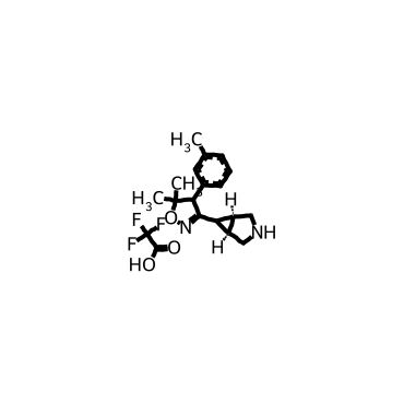 Cc1cccc(C2C(C3[C@H]4CNC[C@@H]34)=NOC2(C)C)c1.O=C(O)C(F)(F)F